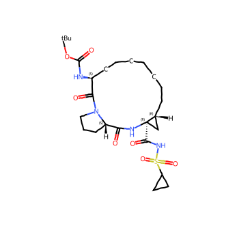 CC(C)(C)OC(=O)N[C@H]1CCCCCCC[C@@H]2C[C@@]2(C(=O)NS(=O)(=O)C2CC2)NC(=O)[C@@H]2CCCN2C1=O